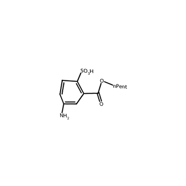 CCCCCOC(=O)c1cc(N)ccc1S(=O)(=O)O